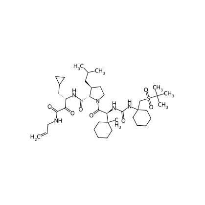 C=CCNC(=O)C(=O)[C@H](CC1CC1)NC(=O)[C@@H]1[C@@H](CC(C)C)CCN1C(=O)[C@@H](NC(=O)NC1(CS(=O)(=O)C(C)(C)C)CCCCC1)C1(C)CCCCC1